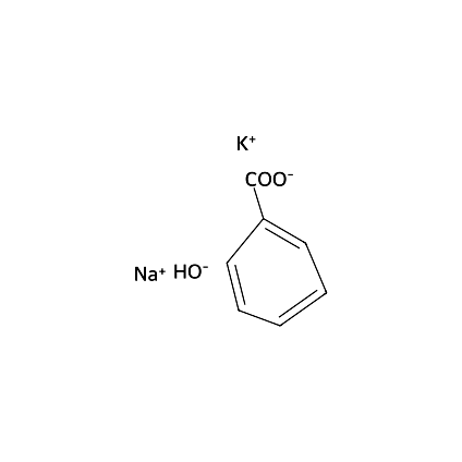 O=C([O-])c1ccccc1.[K+].[Na+].[OH-]